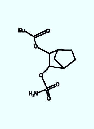 CCC(C)C(=O)OC1C2CCC(C2)C1OS(N)(=O)=O